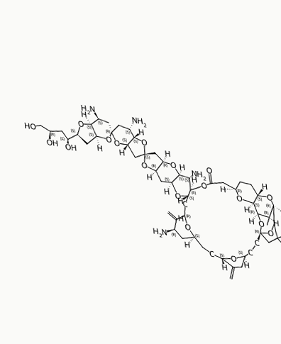 C=C1C[C@@H]2CC[C@]34CC(O)(O)C(O3)[C@@H]3O[C@H]5CC[C@H](CC(=O)O[C@@H]6[C@@H](N)[C@@H]7O[C@@H]8C[C@]9(C[C@@H]%10O[C@]%11(C[C@H](N)[C@@H]%12O[C@H]([C@@H](O)C[C@@H](O)CO)C[C@@H]%12O%11)C[C@H](N)[C@@H]%10O9)O[C@@H]8C[C@@H]7O[C@H]6C[C@H]6O[C@@H](CC[C@@H]1O2)C[C@@H](N)C6=C)O[C@@H]5[C@H](O4)[C@@H]3C